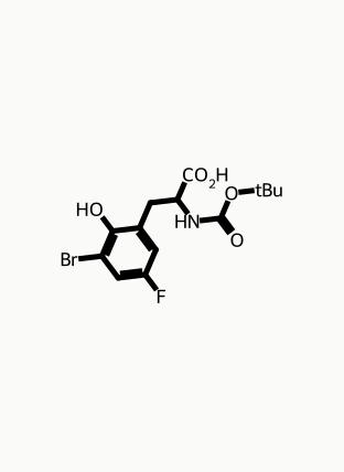 CC(C)(C)OC(=O)NC(Cc1cc(F)cc(Br)c1O)C(=O)O